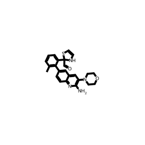 Cc1cccc(C2(C=O)NC=CS2)c1-c1ccc2nc(N)c(N3CCOCC3)cc2c1